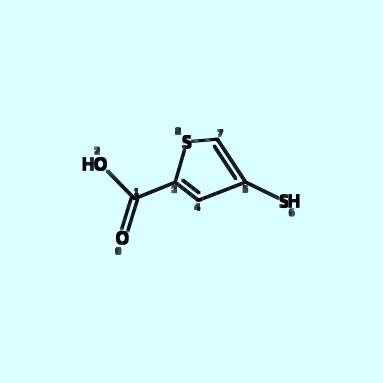 O=C(O)c1cc(S)cs1